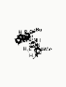 CNc1nc(N)nc2c1ncn2[C@@H](C)O[C@@H](C=N)CO[P@@](=S)(N[C@H](C)C(=O)OCC(C)(C)C)Oc1cccc2ccccc12